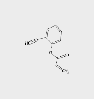 C#Cc1ccccc1OC(=O)C=C